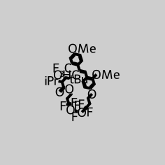 COc1ccc(/C(C=O)=C/c2ccc(OCCC(F)(F)OC(F)(F)OC(F)(F)CCOC(=O)C(CC(C)(C)C)C(C)C)cc2OC)c(C(F)(F)F)c1